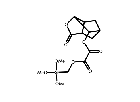 CO[Si](COC(=O)C(=O)OC1C2CC3C(=O)OC1C3C2)(OC)OC